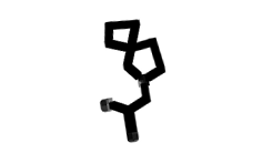 O=C(Cl)CN1CCC2(CCC2)C1